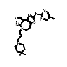 Fc1cnc(Nc2nc3c(s2)CCN(CCCN2CCC(F)(F)CC2)c2n[nH]cc2-3)nc1